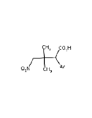 CC(=O)C(C(=O)O)C(C)(C)C[N+](=O)[O-]